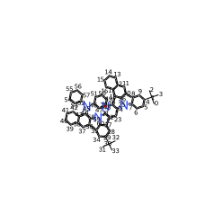 CC(C)(C)c1ccc2c(c1)c1cc3ccccc3c3c4nc5c(cc4n2c13)c1cc(C(C)(C)C)cc2c3cc4ccccc4c(N(c4ccccc4)c4ccccc4)c3n5c12